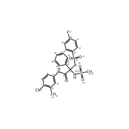 [C-]#[N+]c1ccc(NC(=O)C(CS(=O)(=O)c2ccc(F)cc2)(NS(C)(=O)=O)c2ccccc2)cc1C